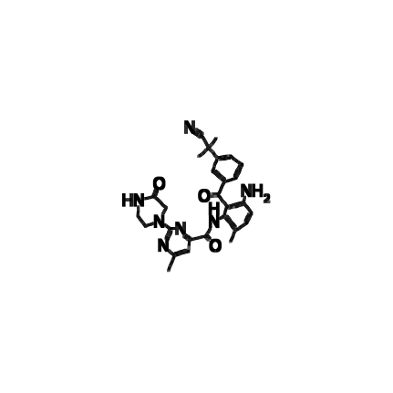 Cc1cc(C(=O)Nc2c(C)ccc(N)c2C(=O)c2cccc(C(C)(C)C#N)c2)nc(N2CCNC(=O)C2)n1